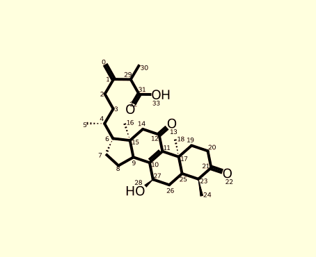 C=C(CC[C@@H](C)[C@H]1CCC2C3=C(C(=O)C[C@@]21C)[C@@]1(C)CCC(=O)[C@@H](C)C1C[C@H]3O)C(C)C(=O)O